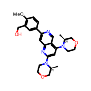 COc1ccc(-c2cc3nc(N4CCOC[C@@H]4C)cc(N4CCOC[C@@H]4C)c3cn2)cc1CO